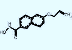 C=CCOc1ccc2cc(C(=O)NO)ccc2c1